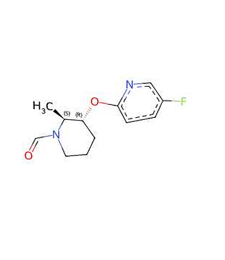 C[C@H]1[C@H](Oc2ccc(F)cn2)CCCN1C=O